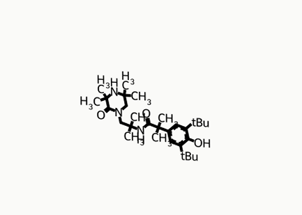 CC(C)(CN1CC(C)(C)NC(C)(C)C1=O)NC(=O)C(C)(C)c1cc(C(C)(C)C)c(O)c(C(C)(C)C)c1